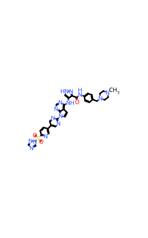 CN1CCN(Cc2ccc(NC(=O)c3n[nH]cc3Nc3ncnc4c3ccn4-c3ncc(-c4ccc(S(=O)(=O)n5cncn5)nc4)cn3)cc2)CC1